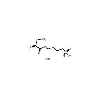 C=C(OC)C(=O)OCCCCS(=O)(=O)O.[NaH]